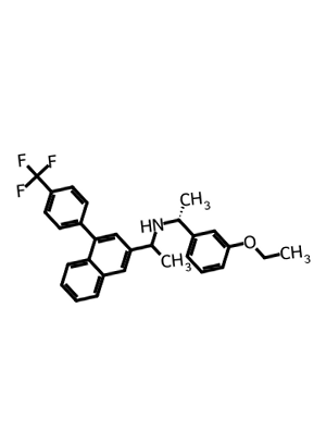 CCOc1cccc([C@@H](C)NC(C)c2cc(-c3ccc(C(F)(F)F)cc3)c3ccccc3c2)c1